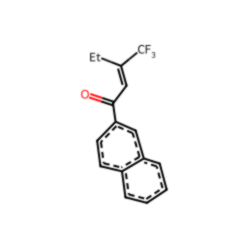 CC/C(=C\C(=O)c1ccc2ccccc2c1)C(F)(F)F